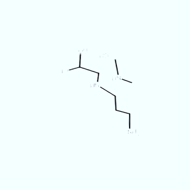 Br.CNC.NCCCNCC(O)O